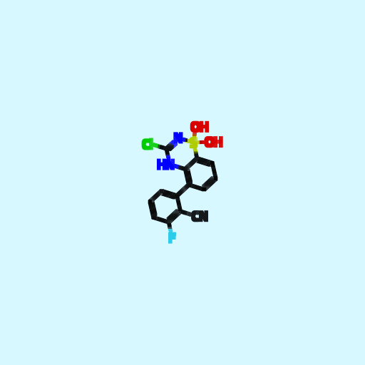 N#Cc1c(F)cccc1-c1cccc2c1NC(Cl)=NS2(O)O